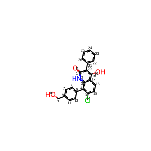 O=c1[nH]c2c(-c3ccc(CO)cc3)c(Cl)ccc2c(O)c1-c1ccccc1